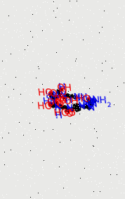 NCCCCC(NC(=O)C(CC(=O)O)NC(=O)C(CC(=O)O)NC(=O)C(CC(=O)O)NC(=O)CCC(NC(=O)c1ccc(NCc2cnc3nc(N)nc(O)c3n2)cc1)C(=O)O)C(=O)O